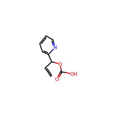 C=CC(OC(=O)O)c1ccccn1